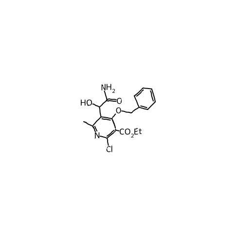 CCOC(=O)c1c(Cl)nc(C)c(C(O)C(N)=O)c1OCc1ccccc1